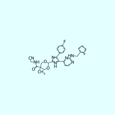 CC1(C(=O)NCC#N)COC(c2nc(-c3ccc(F)cc3)c(-c3ccnc(NCc4cccs4)n3)[nH]2)OC1